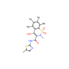 [2H]c1c([2H])c([2H])c2c(c1[2H])C(O)=C(C(=O)Nc1ncc(C)s1)N(C)S2(=O)=O